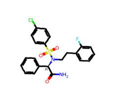 NC(=O)[C@@H](c1ccccc1)N(CCc1ccccc1F)S(=O)(=O)c1ccc(Cl)cc1